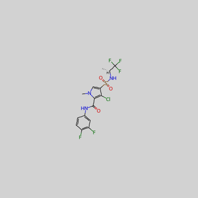 C[C@@H](NS(=O)(=O)c1cn(C)c(C(=O)Nc2ccc(F)c(F)c2)c1Cl)C(F)(F)F